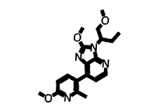 CCC(COC)n1c(OC)nc2c(-c3ccc(OC)nc3C)ccnc21